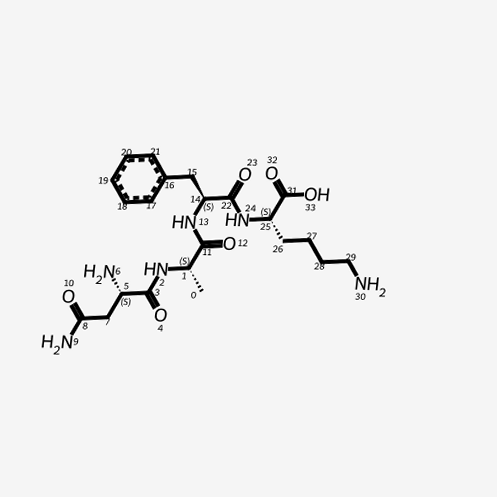 C[C@H](NC(=O)[C@@H](N)CC(N)=O)C(=O)N[C@@H](Cc1ccccc1)C(=O)N[C@@H](CCCCN)C(=O)O